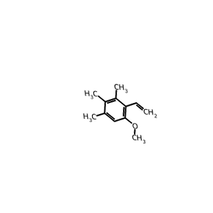 C=Cc1c(OC)cc(C)c(C)c1C